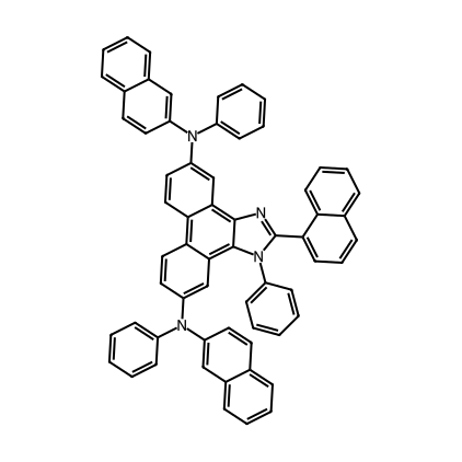 c1ccc(N(c2ccc3ccccc3c2)c2ccc3c4ccc(N(c5ccccc5)c5ccc6ccccc6c5)cc4c4c(nc(-c5cccc6ccccc56)n4-c4ccccc4)c3c2)cc1